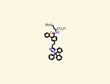 CSCC[C@H](NC(=O)c1ccc(CCc2cn(C(c3ccccc3)(c3ccccc3)c3ccccc3)cn2)cc1-c1ccccc1)C(=O)O